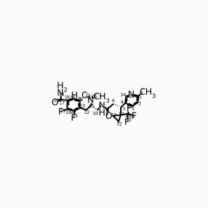 Cc1ccc([C@@H](CC(=O)NC[C@H](Cc2ccc(C(N)=O)c(F)c2F)N(C)C)C2(C(F)(F)F)CC2)cn1